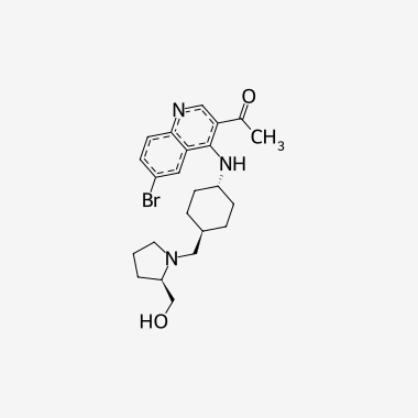 CC(=O)c1cnc2ccc(Br)cc2c1N[C@H]1CC[C@H](CN2CCC[C@@H]2CO)CC1